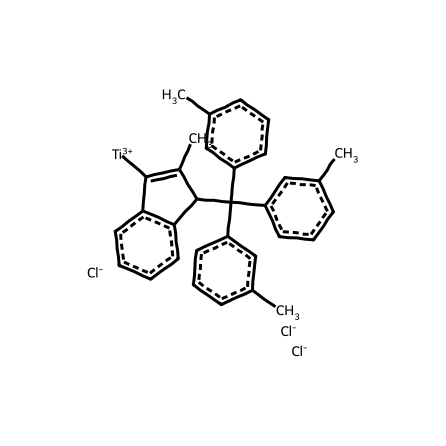 CC1=[C]([Ti+3])c2ccccc2C1C(c1cccc(C)c1)(c1cccc(C)c1)c1cccc(C)c1.[Cl-].[Cl-].[Cl-]